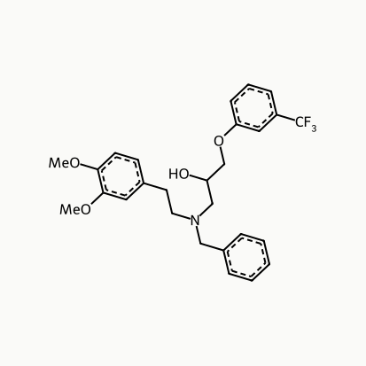 COc1ccc(CCN(Cc2ccccc2)CC(O)COc2cccc(C(F)(F)F)c2)cc1OC